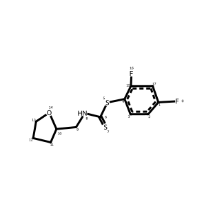 Fc1ccc(SC(=S)NCC2CCCO2)c(F)c1